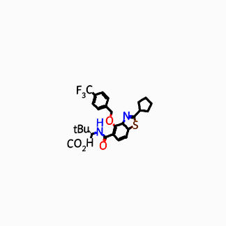 CC(C)(C)[C@H](NC(=O)C1=C(OCc2ccc(C(F)(F)F)cc2)C2N=C(C3CCCC3)SC2C=C1)C(=O)O